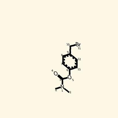 CN(C)C(=O)Oc1ccc(CBr)cc1